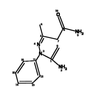 C=C(N)N(/N=C(/C)CC(N)=O)c1ccccc1